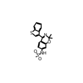 CC1(C)N=C(c2csc3ccccc23)c2ccc(NS(C)(=O)=O)cc2O1